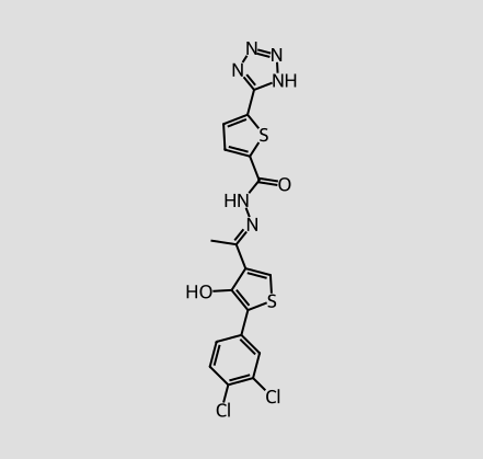 C/C(=N\NC(=O)c1ccc(-c2nnn[nH]2)s1)c1csc(-c2ccc(Cl)c(Cl)c2)c1O